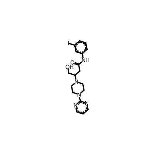 O=C(CC(CO)N1CCN(c2ncccn2)CC1)Nc1cccc(I)c1